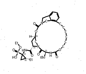 CCOP(=O)(O)[C@@]1(NC(=O)[C@@H]2C[C@@H]3CN2C(=O)[C@H](C(C)(C)C)NC(=O)OCCCCCCc2cccc4c2CN(C4)C(=O)O3)C[C@H]1CC